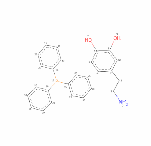 NCCc1ccc(O)c(O)c1.c1ccc(P(c2ccccc2)c2ccccc2)cc1